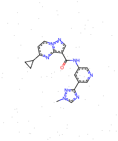 Cn1cnc(-c2cncc(NC(=O)c3cnn4ccc(C5CC5)nc34)c2)n1